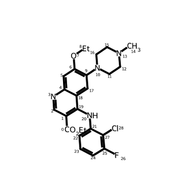 CCOC(=O)c1cnc2cc(OCC)c(N3CCN(C)CC3)cc2c1Nc1cccc(F)c1Cl